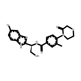 Cc1cc(C(=O)N[C@@H](CO)c2nc3cc(Cl)ccc3[nH]2)ccc1N1CCOCC1=O